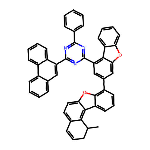 CC1CC=Cc2ccc3oc4c(-c5cc(-c6nc(-c7ccccc7)nc(-c7cc8ccccc8c8ccccc78)n6)c6c(c5)oc5ccccc56)cccc4c3c21